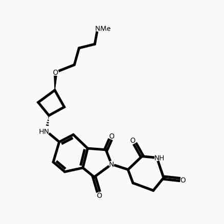 CNCCCO[C@H]1C[C@H](Nc2ccc3c(c2)C(=O)N(C2CCC(=O)NC2=O)C3=O)C1